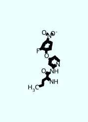 CCCC(=N)C(=O)Nc1cc(Oc2ccc([N+](=O)[O-])cc2F)ccn1